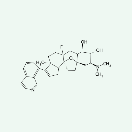 CN(C)[C@H]1C[C@@]23CC[C@]4(O2)C2CC=C(c5cccc6ccncc56)[C@@]2(C)CCC4(F)CC3[C@@H](O)[C@@H]1O